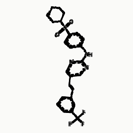 O=S(=O)(c1ccc(Nc2ncc(/C=C/c3cccc(C(F)(F)F)c3)cn2)cc1)C1CCCCC1